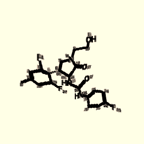 Cc1cc(F)c([C@@H]2CN(CCO)C(=O)[C@H]2NC(=O)Nc2ccc(F)cc2)c(F)c1